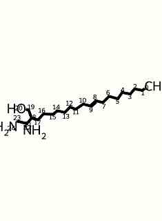 CCCCCCCCC=CCCCCCCCCC(CO)C(N)CN